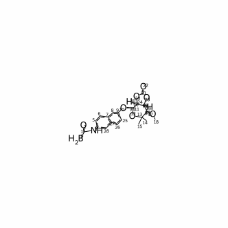 BC(=O)Nc1ccc2cc(O[C@@H]3OC(C)(C)[C@H](OC)[C@H]4OC(=O)O[C@@H]34)ccc2c1